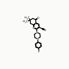 CC1(C)CC(=O)c2cc(C#N)c(N3CCN(c4ccc(F)cc4)CC3)nc2C1